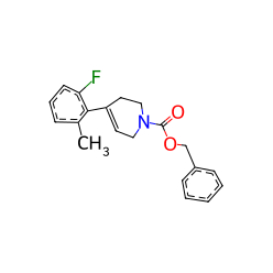 Cc1cccc(F)c1C1=CCN(C(=O)OCc2ccccc2)CC1